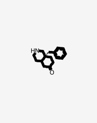 O=C1CC[C@]2(Cc3ccccc3)CNCCC2C1